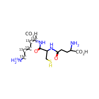 NC(CCC(=O)NC(CS)C(=O)[15NH][13CH]([13CH2][13CH2][13CH2][13CH2][15NH2])[13C](=O)O)C(=O)O